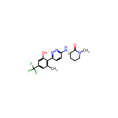 Cc1cc(C(F)(F)F)cc(O)c1-c1ccc(N[C@H]2CCCN(C)C2=O)nn1